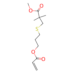 C=CC(=O)OCCCSCC(C)(C)C(=O)OC